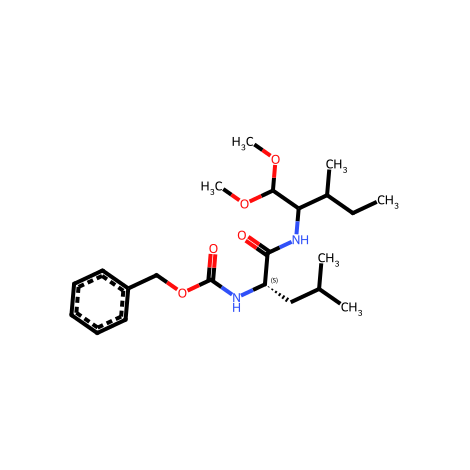 CCC(C)C(NC(=O)[C@H](CC(C)C)NC(=O)OCc1ccccc1)C(OC)OC